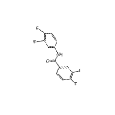 O=C(Nc1ccc(F)c(F)c1)c1ccc(F)c(I)c1